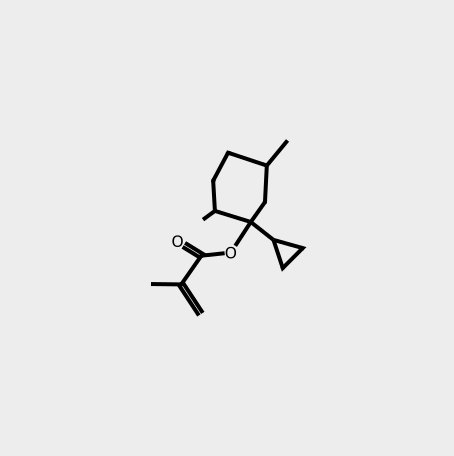 C=C(C)C(=O)OC1(C2CC2)CC(C)CCC1C